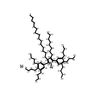 CCCCCCCCCCCCCCCC1=C(c2cc(CCCC)c(CCCC)c(CCCC)c2)[N+](=[N-])C(c2cc(CCCC)c(CCCC)c(CCCC)c2)=C1CCCCCCCC.[Ni]